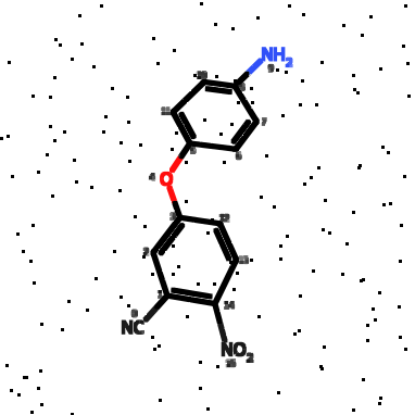 N#Cc1cc(Oc2ccc(N)cc2)ccc1[N+](=O)[O-]